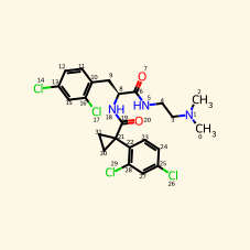 CN(C)CCNC(=O)[C@H](Cc1ccc(Cl)cc1Cl)NC(=O)C1(c2ccc(Cl)cc2Cl)CC1